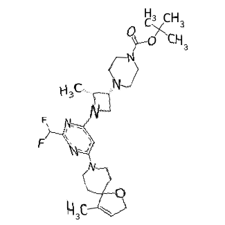 CC1=CCOC12CCN(c1cc(N3C[C@@H](N4CCN(C(=O)OC(C)(C)C)CC4)[C@H]3C)nc(C(F)F)n1)CC2